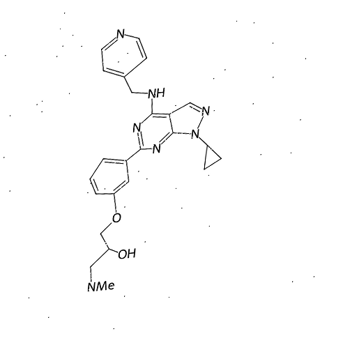 CNCC(O)COc1cccc(-c2nc(NCc3ccncc3)c3cnn(C4CC4)c3n2)c1